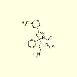 CCCNC(=O)N1N=C(c2cccc(C)c2)SC1(CCCN)c1ccccc1